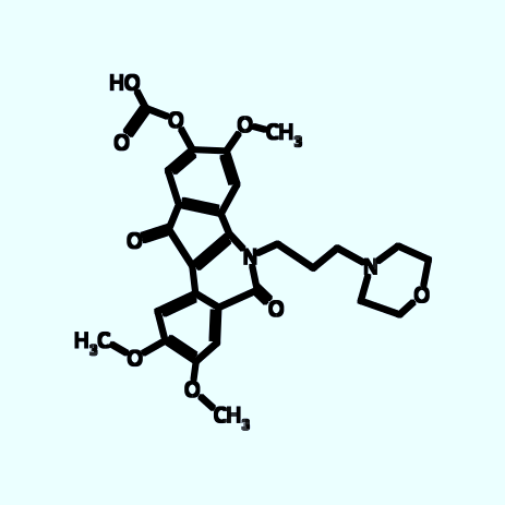 COc1cc2c3c(n(CCCN4CCOCC4)c(=O)c2cc1OC)-c1cc(OC)c(OC(=O)O)cc1C3=O